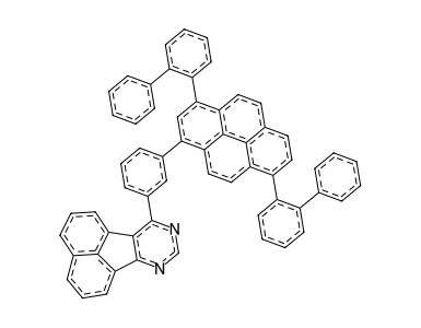 c1ccc(-c2ccccc2-c2ccc3ccc4c(-c5ccccc5-c5ccccc5)cc(-c5cccc(-c6ncnc7c6-c6cccc8cccc-7c68)c5)c5ccc2c3c54)cc1